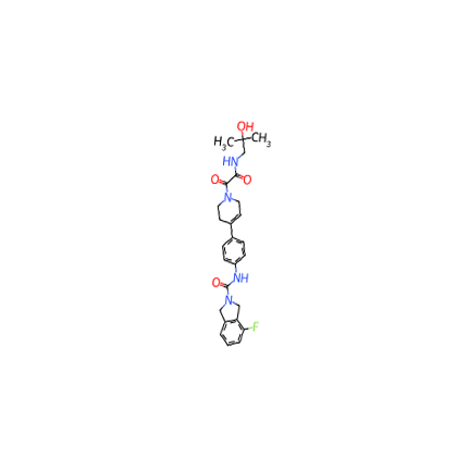 CC(C)(O)CNC(=O)C(=O)N1CC=C(c2ccc(NC(=O)N3Cc4cccc(F)c4C3)cc2)CC1